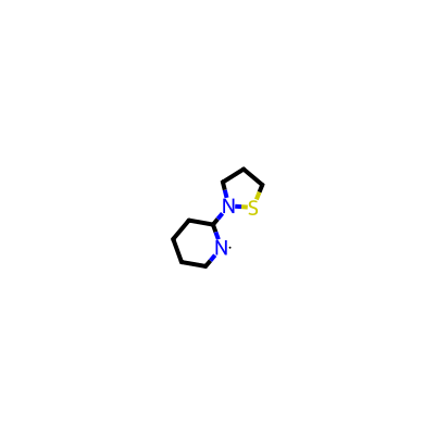 C1CCC(N2CCCS2)[N]C1